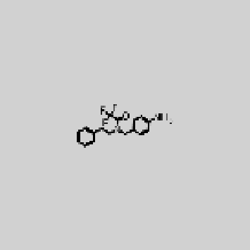 Nc1ccc(CN(CCc2ccccc2)C(=O)C(F)(F)F)cc1